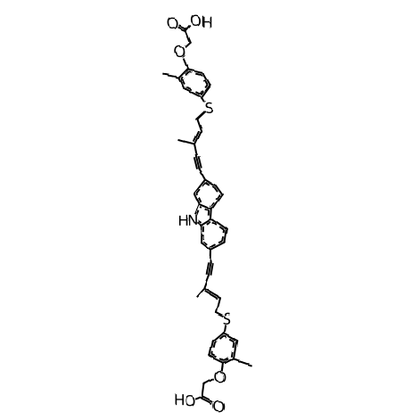 C/C(C#Cc1ccc2c(c1)[nH]c1cc(C#C/C(C)=C/CSc3ccc(OCC(=O)O)c(C)c3)ccc12)=C\CSc1ccc(OCC(=O)O)c(C)c1